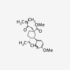 C=C(C)[C@@H]1CC[C@](CC(=O)N(C)C)(C(=O)OC)C[C@H]1c1ccc(OC)cc1